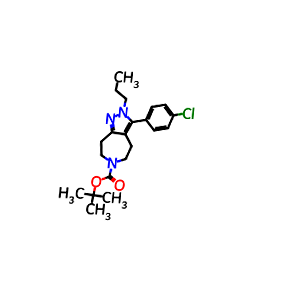 CCCn1nc2c(c1-c1ccc(Cl)cc1)CCN(C(=O)OC(C)(C)C)CC2